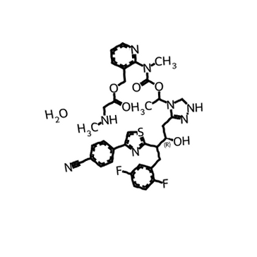 CNCC(=O)OCc1cccnc1N(C)C(=O)OC(C)N1CNN=C1C[C@@H](O)C(Cc1cc(F)ccc1F)c1nc(-c2ccc(C#N)cc2)cs1.O